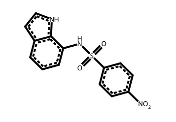 O=[N+]([O-])c1ccc(S(=O)(=O)Nc2cccc3cc[nH]c23)cc1